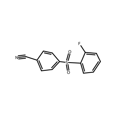 N#Cc1ccc(S(=O)(=O)c2ccccc2F)cc1